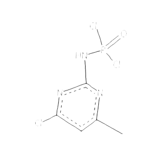 Cc1cc(Cl)nc(NP(=O)(Cl)Cl)n1